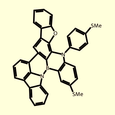 CSc1ccc(N2c3ccc(SC)cc3B3c4c(cc5c(oc6ccccc65)c42)-c2cccc4c5ccccc5n3c24)cc1